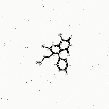 CCn1c(=O)[nH]c(=O)c2c(-c3ccc(F)cc3)c(/C=C/C=O)c(C(C)C)nc21